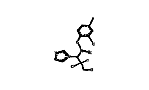 CC(=O)N(Oc1ccc(C)cc1Cl)C(n1ccnc1)C(Cl)(Cl)CCl